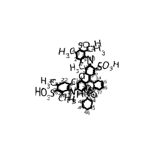 Cc1cc(C)c(S(=O)(=O)O)c(C)c1/N=c1\cc2oc3cc(Nc4c(C)cc(C)c(S(=O)(=O)O)c4C)ccc3c(-c3ccccc3S(=O)(=O)NC3CCCCC3)c-2cc1S(=O)(=O)O